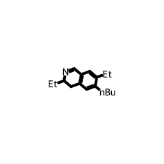 CCCCc1cc2c(cc1CC)C=NC(CC)C2